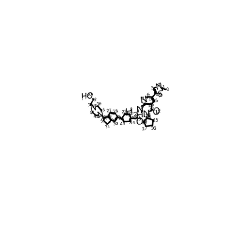 Cc1ncc(-c2cnc(N)c(C(=O)N[C@H]3CCC[C@@H]3OCc3ccc(-c4ccc5c(c4)CC[C@@H]5N4CCN(CCO)CC4)cc3)c2)s1